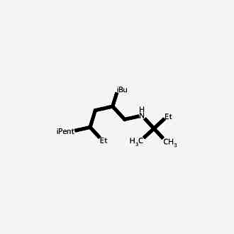 CCCC(C)C(CC)CC(CNC(C)(C)CC)C(C)CC